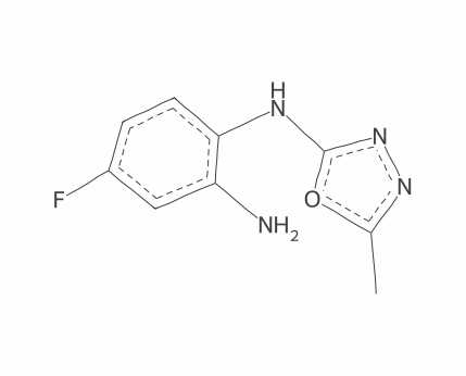 Cc1nnc(Nc2ccc(F)cc2N)o1